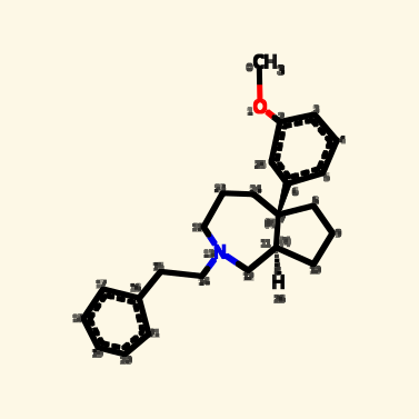 COc1cccc([C@@]23CCC[C@H]2CN(CCc2ccccc2)CCC3)c1